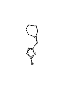 Brc1nc(CN2CCCCC2)cs1